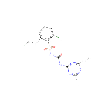 COc1nc(C)nc(NC(=O)NS(=O)(=O)c2c(Cl)cccc2CCF)n1